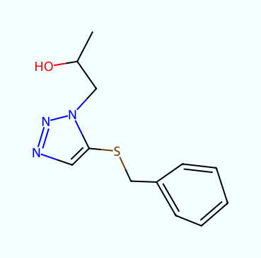 CC(O)Cn1nncc1SCc1ccccc1